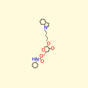 O=C(Nc1ccccc1)OCc1cc(=O)c(OCCCCCn2ccc3ccccc32)co1